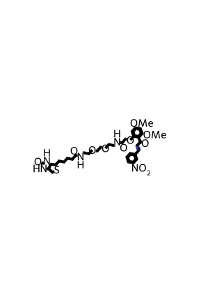 COc1cc(OC)c(C(=O)/C=C/c2cccc([N+](=O)[O-])c2)c(OCC(=O)NCCOCCOCCNC(=O)CCCCC2SCC3NC(=O)NC32)c1